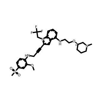 COc1cc(S(C)(=O)=O)ccc1NCC#Cc1cc2c(NCCO[C@@H]3CCCN(C)C3)cccc2n1CC(F)(F)F